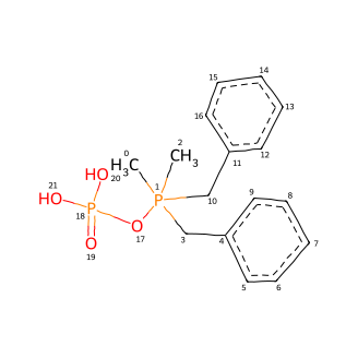 CP(C)(Cc1ccccc1)(Cc1ccccc1)OP(=O)(O)O